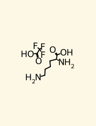 NCCCC[C@H](N)C(=O)O.O=C(O)C(F)(F)F